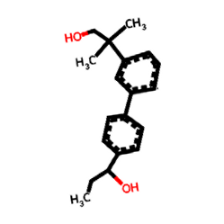 CCC(O)c1ccc(-c2[c]ccc(C(C)(C)CO)c2)cc1